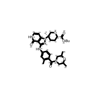 Cc1cc(Nc2nn([C@]3(C)CC[C@@H](C(=O)OCC(C)C)OC3)c3cc[nH]c(=O)c23)ccc1C(=O)N1CC(C)OC(C)C1